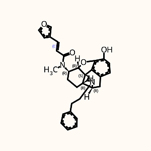 CN(C(=O)/C=C/c1ccoc1)[C@@H]1CC[C@H]2[C@H]3Cc4ccc(O)c5c4[C@@]2(CCN3CCc2ccccc2)[C@H]1O5